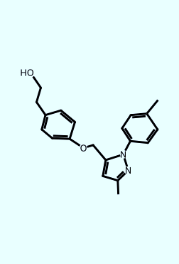 Cc1ccc(-n2nc(C)cc2COc2ccc(CCO)cc2)cc1